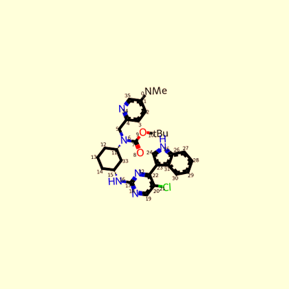 CNc1ccc(CN(C(=O)OC(C)(C)C)[C@H]2CCC[C@@H](Nc3ncc(Cl)c(-c4c[nH]c5ccccc45)n3)C2)nc1